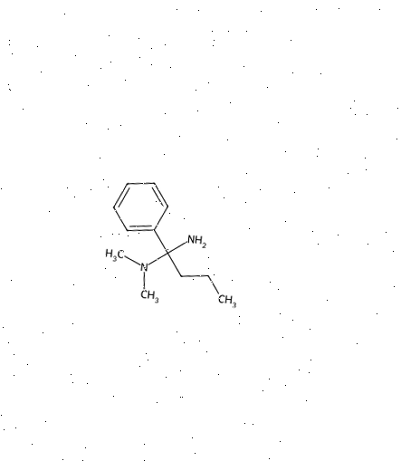 CCCC(N)(c1ccccc1)N(C)C